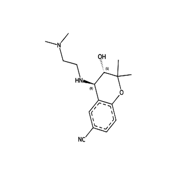 CN(C)CCN[C@@H]1c2cc(C#N)ccc2OC(C)(C)[C@H]1O